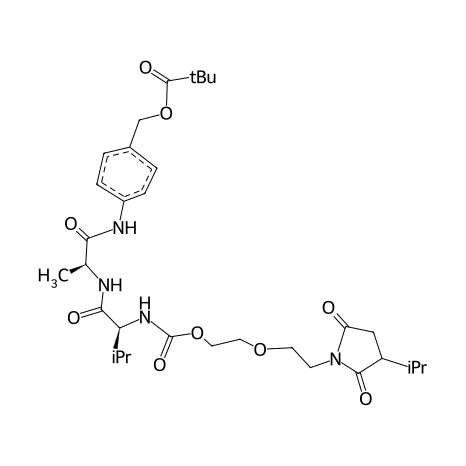 CC(C)C1CC(=O)N(CCOCCOC(=O)N[C@H](C(=O)N[C@@H](C)C(=O)Nc2ccc(COC(=O)C(C)(C)C)cc2)C(C)C)C1=O